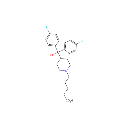 O=C(O)CCCCN1CCC(C(O)(c2ccc(F)cc2)c2ccc(F)cc2)CC1